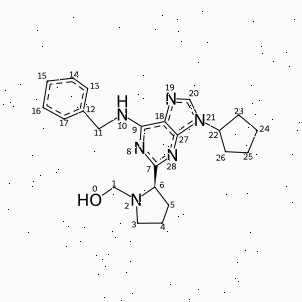 OCN1CCC[C@@H]1c1nc(NCc2ccccc2)c2ncn(C3CCCC3)c2n1